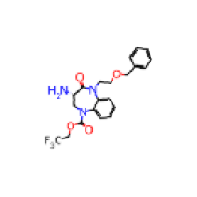 N[C@H]1CN(C(=O)OCC(F)(F)F)c2ccccc2N(CCOCc2ccccc2)C1=O